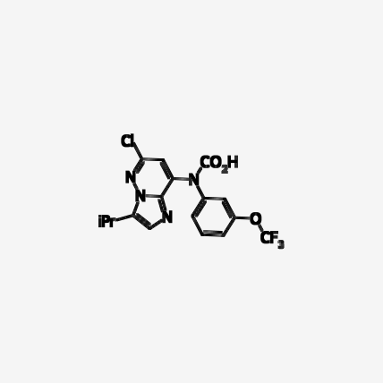 CC(C)c1cnc2c(N(C(=O)O)c3cccc(OC(F)(F)F)c3)cc(Cl)nn12